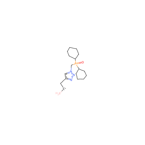 [BH3-][CH+]Cc1cn(CP(=O)(C2CCCCC2)C2CCCCC2)nn1